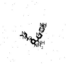 Cc1nccc(C(C)Oc2ccc(N)c(C(=N)c3ccc(N4CCS(=N)(=O)CC4)nc3)c2)n1